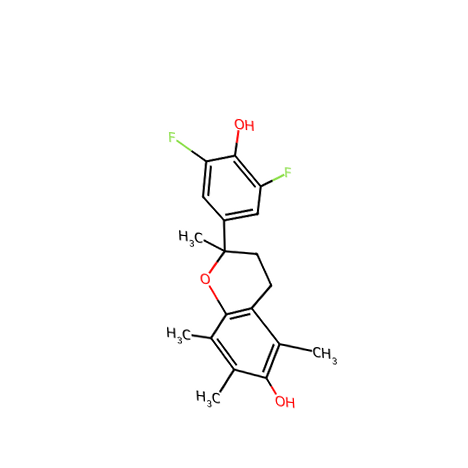 Cc1c(C)c2c(c(C)c1O)CCC(C)(c1cc(F)c(O)c(F)c1)O2